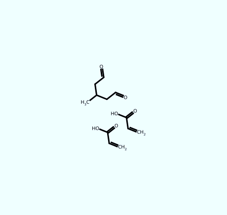 C=CC(=O)O.C=CC(=O)O.CC(CC=O)CC=O